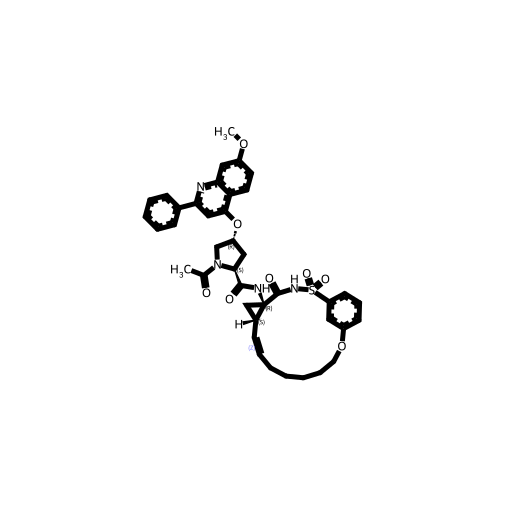 COc1ccc2c(O[C@@H]3C[C@@H](C(=O)N[C@]45C[C@H]4/C=C\CCCCCOc4cccc(c4)S(=O)(=O)NC5=O)N(C(C)=O)C3)cc(-c3ccccc3)nc2c1